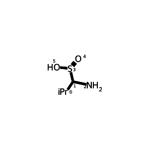 CC(C)C(N)S(=O)O